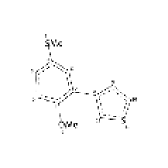 COc1ccc(SC)cc1-c1ccsc1